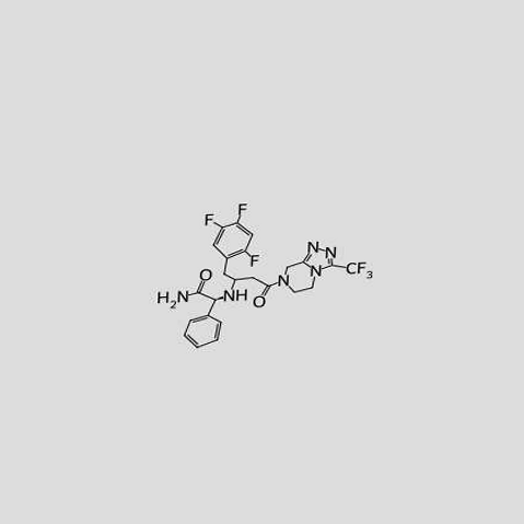 NC(=O)[C@@H](NC(CC(=O)N1CCn2c(nnc2C(F)(F)F)C1)Cc1cc(F)c(F)cc1F)c1ccccc1